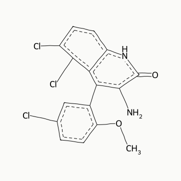 COc1ccc(Cl)cc1-c1c(N)c(=O)[nH]c2ccc(Cl)c(Cl)c12